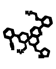 CCOc1ccccc1-c1ccc2c(n1)CN(C[C@H]1CCCN1)C[C@]21CCN(c2ccccc2C#N)C[C@H]1CC